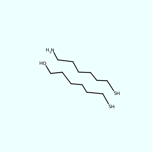 NCCCCCCS.OCCCCCCS